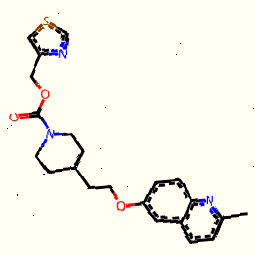 Cc1ccc2cc(OCCC3CCN(C(=O)OCc4cscn4)CC3)ccc2n1